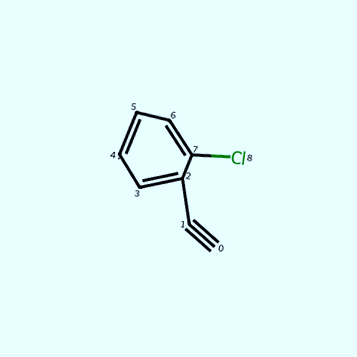 C#Cc1c[c]ccc1Cl